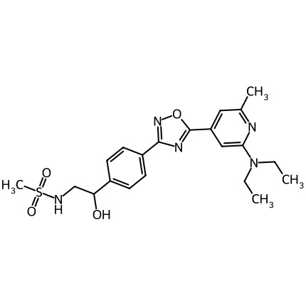 CCN(CC)c1cc(-c2nc(-c3ccc(C(O)CNS(C)(=O)=O)cc3)no2)cc(C)n1